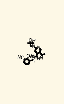 COc1c(C#N)cccc1[C@@H](C)Nc1nnc(C)c2cnc(N3CC(C)(O)C3)cc12